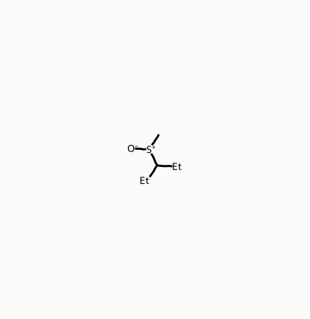 [CH2]CC(CC)[S+](C)[O-]